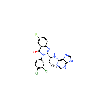 CCC(Nc1ncnc2[nH]cnc12)c1nc2ccc(F)cc2c(=O)n1-c1ccc(Cl)c(Cl)c1